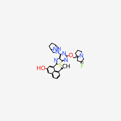 C#Cc1cccc2cc(O)cc(-c3nc4c(N5CC6CCC(C5)N6)nc(OC[C@@]56CCCN5C[C@H](F)C6)nc4s3)c12